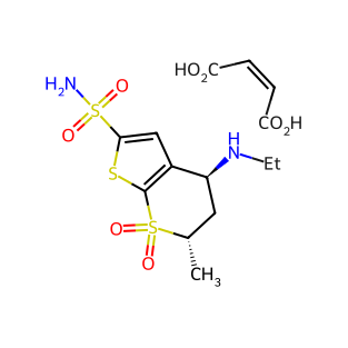 CCN[C@H]1C[C@H](C)S(=O)(=O)c2sc(S(N)(=O)=O)cc21.O=C(O)/C=C\C(=O)O